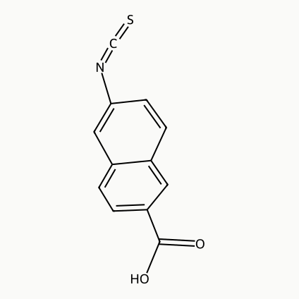 O=C(O)c1ccc2cc(N=C=S)ccc2c1